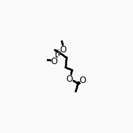 C[O][Ti]([CH3])([CH2]CCOC(C)=O)[O]C